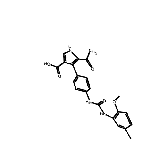 COc1ccc(C)cc1NC(=O)Nc1ccc(-c2c(C(=O)O)c[nH]c2C(N)=O)cc1